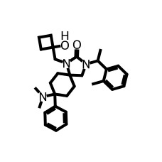 Cc1ccccc1C(C)N1CC2(CCC(c3ccccc3)(N(C)C)CC2)N(CC2(O)CCC2)C1=O